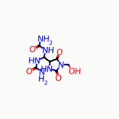 NC(=O)NC(NC(N)=O)C1NC(=O)N(CO)C1=O